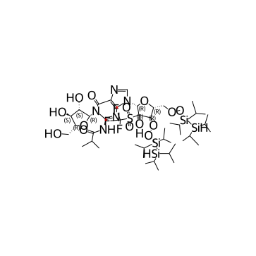 CC(C)C(=O)Nc1nc2c(ncn2[C@@H]2O[C@H](COO[Si](C(C)C)(C(C)C)[SiH](C(C)C)C(C)C)[C@@H](OO[Si](C(C)C)(C(C)C)[SiH](C(C)C)C(C)C)[C@]2(O)S(=O)(=O)C(F)(F)F)c(=O)n1[C@@H]1O[C@H](CO)[C@@H](O)[C@@H]1O